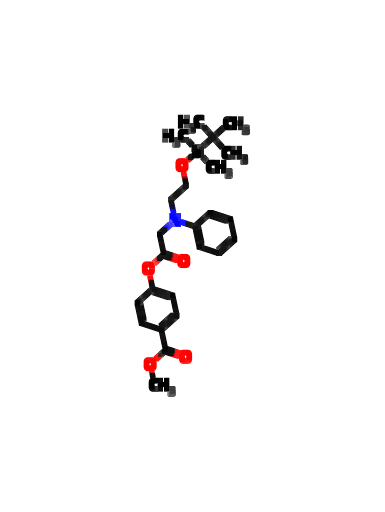 COC(=O)c1ccc(OC(=O)CN(CCO[Si](C)(C)C(C)(C)C)c2ccccc2)cc1